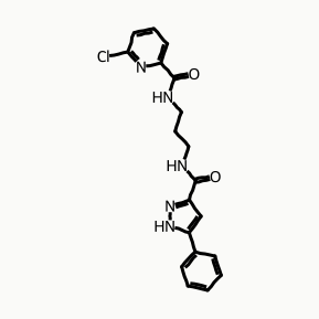 O=C(NCCCNC(=O)c1cccc(Cl)n1)c1cc(-c2ccccc2)[nH]n1